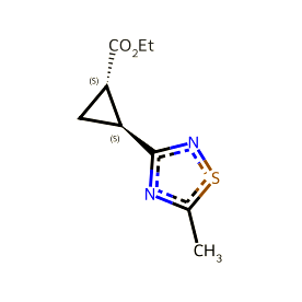 CCOC(=O)[C@H]1C[C@@H]1c1nsc(C)n1